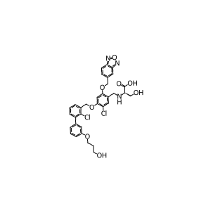 O=C(O)[C@@H](CO)NCc1cc(Cl)c(OCc2cccc(-c3cccc(OCCCO)c3)c2Cl)cc1OCc1ccc2nonc2c1